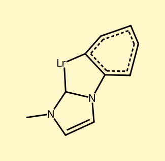 CN1C=CN2c3cccc[c]3[Lr][CH]12